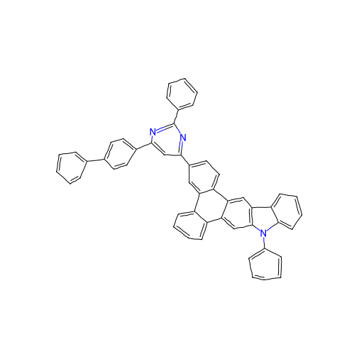 c1ccc(-c2ccc(-c3cc(-c4ccc5c(c4)c4ccccc4c4cc6c(cc54)c4ccccc4n6-c4ccccc4)nc(-c4ccccc4)n3)cc2)cc1